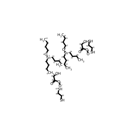 CCCC[O][Sn+]([CH2]CCC)[CH2]CCC.CCCC[O][Sn+]([CH2]CCC)[CH2]CCC.O=C(CO)O[O-].O=C(CO)O[O-].SCCS.SCCS